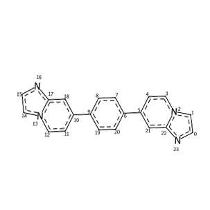 c1cn2ccc(-c3ccc(-c4ccn5ccnc5c4)cc3)cc2n1